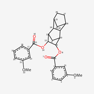 COc1cccc(C(=O)OC2C3CC(C2OC(=O)c2cccc(OC)c2)C2C4CCC(C4)C32)c1